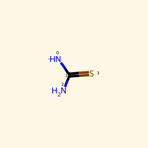 [NH]C(N)=S